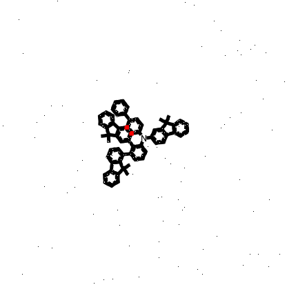 CC1(C)c2ccccc2-c2ccc(-c3c(-c4cccc5c4C(C)(C)c4ccccc4-5)cccc3N(c3ccc(-c4ccccc4)cc3)c3ccc4c(c3)C(C)(C)c3ccccc3-4)cc21